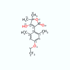 Cc1cc(OCC(F)(F)F)cc(C)c1C1=C(O)C(C)(C)OC1=O